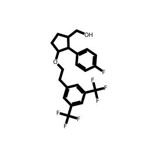 OCC1CCC(OCCc2cc(C(F)(F)F)cc(C(F)(F)F)c2)C1c1ccc(F)cc1